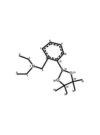 CCN(CC)Cc1ccccc1B1OC(C)(C)C(C)(C)O1